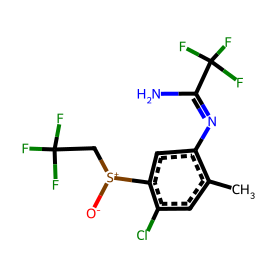 Cc1cc(Cl)c([S+]([O-])CC(F)(F)F)cc1/N=C(\N)C(F)(F)F